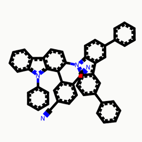 N#Cc1ccc(C#N)c(-c2c(-n3c4ccc(-c5ccccc5)cc4c4cc(-c5ccccc5)ccc43)ccc3c4ccccc4n(-c4ccccc4)c23)c1